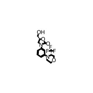 O=C1O[C@H](CO)CN1c1cccc(N2CCOC[C@H]2C(F)(F)F)c1